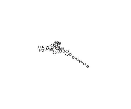 COCCOCCOCCOCCOCCOc1cccc2c(OCC(=O)N[C@H](C(=O)C(C3CCCCC3)C(N)C(O)C(O)C(C(=O)c3ccc4c(c3)C[C@@H](O)[C@H]4N)C(C)C)[C@@H](C)OP(=O)(O)O)cccc12